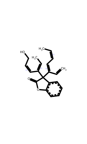 C=C/C(=C\C=C/C)C1(C(/C=C\CO)=C/C)C(=O)Oc2ccccc21